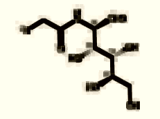 [2H]CC(=O)N[C@@H](C=O)[C@@H](O)[C@H](O)[C@H](O)CO